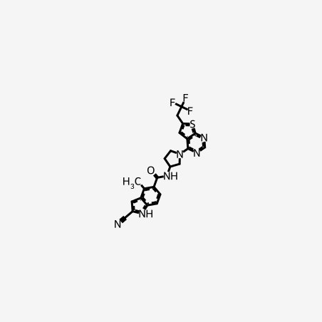 Cc1c(C(=O)NC2CCN(c3ncnc4sc(CC(F)(F)F)cc34)C2)ccc2[nH]c(C#N)cc12